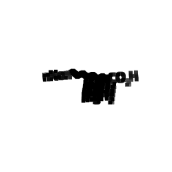 CCCCCCCCCCCCCCCCCC(=O)O.[MgH2].[MgH2].[MgH2].[MgH2].[MgH2]